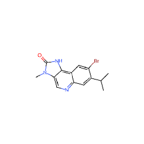 CC(C)c1cc2ncc3c([nH]c(=O)n3C)c2cc1Br